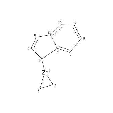 C1=C[CH]([Zr]2[CH2][CH2]2)c2ccccc21